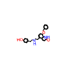 O=c1ccc2c(CCNCCc3ccc(O)cc3)ccc(OCc3ccccc3)c2[nH]1